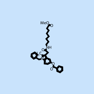 COC(=O)CCCCCCCNC(=O)Cc1c(C)n(Cc2ccccc2)c2ccc(OC(=O)c3ccccc3)cc12